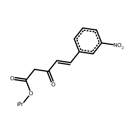 CC(C)OC(=O)CC(=O)C=Cc1cccc([N+](=O)[O-])c1